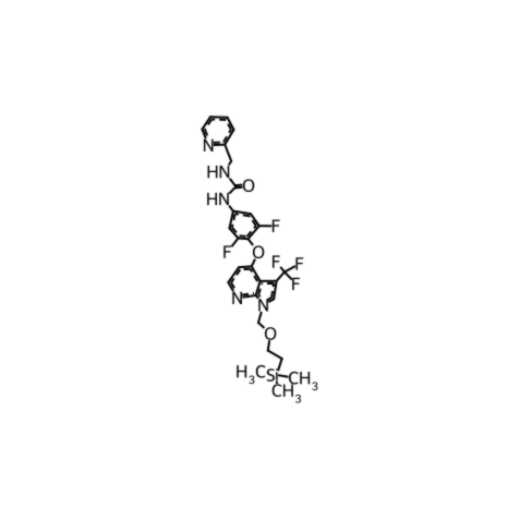 C[Si](C)(C)CCOCn1cc(C(F)(F)F)c2c(Oc3c(F)cc(NC(=O)NCc4ccccn4)cc3F)ccnc21